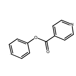 O=C(Oc1cc[c]cc1)c1ccncc1